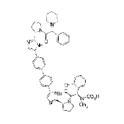 CN(C(=O)O)[C@@H](C(=O)N1CCC[C@H]1c1ncc(-c2ccc(-c3ccc(-c4cnc([C@@H]5CCCN5C(=O)[C@@H](c5ccccc5)N5CCCCC5)[nH]4)cc3)cc2)[nH]1)c1ccccc1Cl